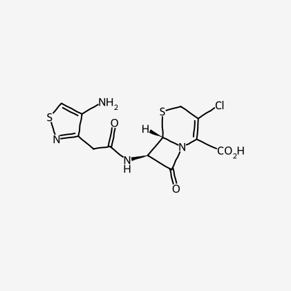 Nc1csnc1CC(=O)N[C@@H]1C(=O)N2C(C(=O)O)=C(Cl)CS[C@@H]12